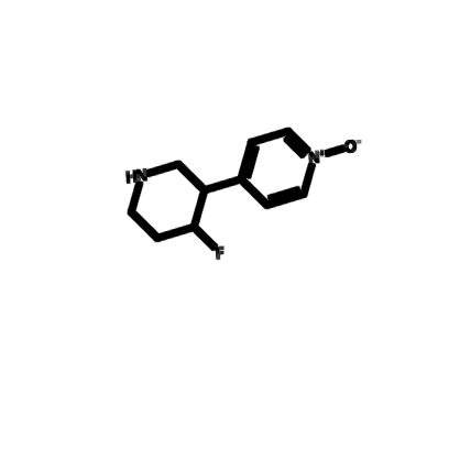 [O-][n+]1ccc(C2CNCCC2F)cc1